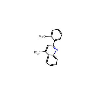 COc1ccccc1-c1cc(C(=O)O)c2ccccc2n1